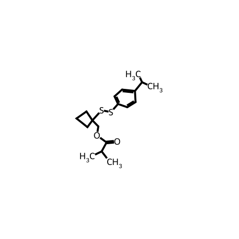 CC(C)C(=O)OCC1(SSc2ccc(C(C)C)cc2)CCC1